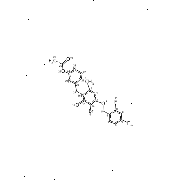 Cc1cc(OCc2ccc(F)cc2F)c(Br)c(=O)n1Cc1ccnc(OC(=O)C(F)(F)F)n1